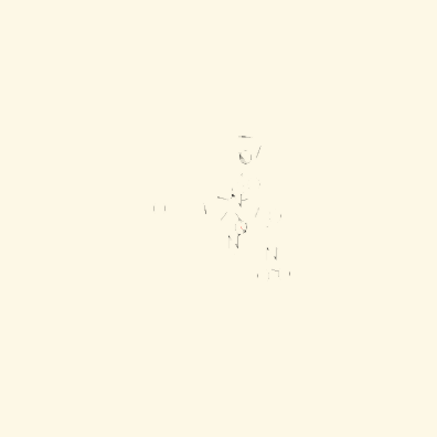 COCCCc1cc(CN(C(=O)C2CN(C(=O)OC(C)(C)C)CCC2(OC)c2ccnc(OCc3ccccc3)c2)C2CC2)cc(OCCOC)c1